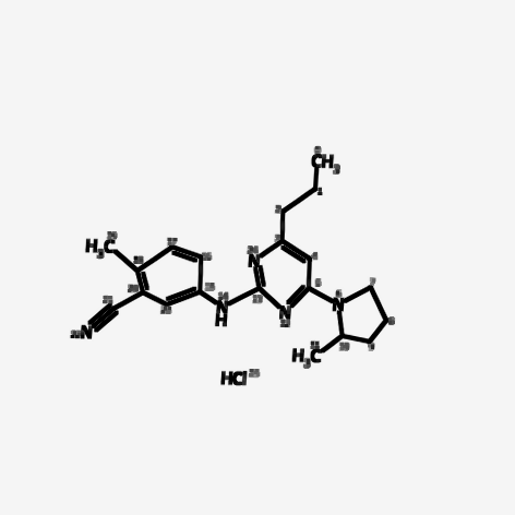 CCCc1cc(N2CCCC2C)nc(Nc2ccc(C)c(C#N)c2)n1.Cl